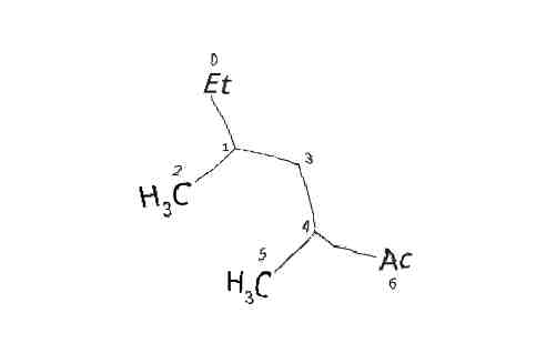 CCC(C)CC(C)C(C)=O